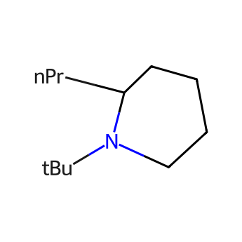 CCCC1CCCCN1C(C)(C)C